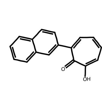 O=c1c(O)ccccc1-c1ccc2ccccc2c1